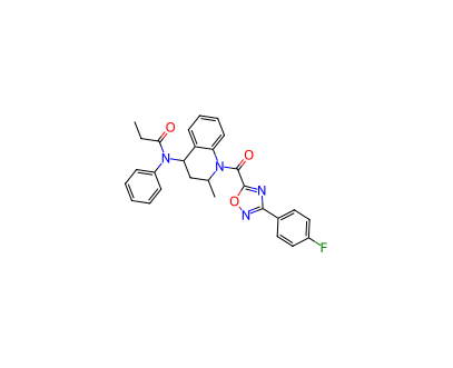 CCC(=O)N(c1ccccc1)C1CC(C)N(C(=O)c2nc(-c3ccc(F)cc3)no2)c2ccccc21